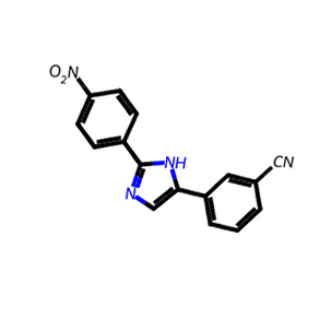 N#Cc1cccc(-c2cnc(-c3ccc([N+](=O)[O-])cc3)[nH]2)c1